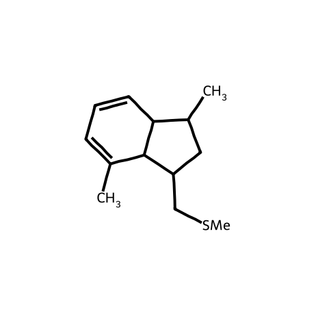 CSCC1CC(C)C2C=CC=C(C)C12